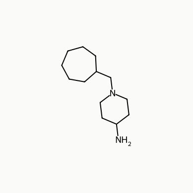 NC1CCN(CC2CCCCCC2)CC1